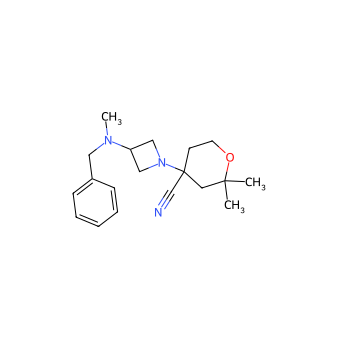 CN(Cc1ccccc1)C1CN(C2(C#N)CCOC(C)(C)C2)C1